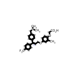 Cc1cc(OC/C=C(\c2ccc(CN(C)C)cc2)c2ccc(C(F)(F)F)cc2)ccc1OCC(=O)O